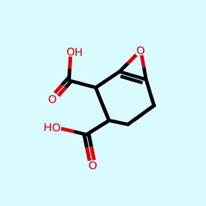 O=C(O)C1CCC2=C(O2)C1C(=O)O